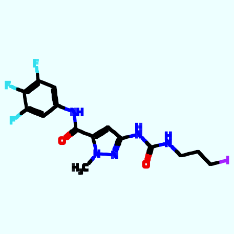 Cn1nc(NC(=O)NCCCI)cc1C(=O)Nc1cc(F)c(F)c(F)c1